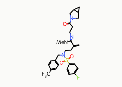 C=C(CCN(Cc1ccc(C(F)(F)F)cc1)S(=O)(=O)c1ccc(F)cc1)/C(=N/CCC(=O)N1CC2CC2C1)NC